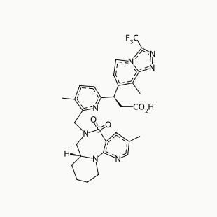 Cc1cnc2c(c1)S(=O)(=O)N(Cc1nc([C@H](CC(=O)O)c3ccn4c(C(F)(F)F)nnc4c3C)ccc1C)C[C@H]1CCCCN21